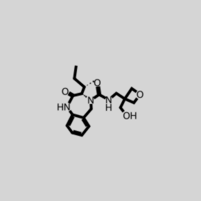 CC[C@H](C)[C@H]1C(=O)Nc2ccccc2CN1C(=O)NCC1(CO)COC1